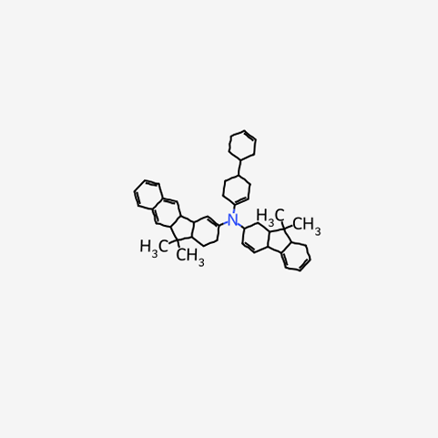 CC1(C)C2CC=CC=C2C2C=CC(N(C3=CCC(C4CC=CCC4)CC3)C3=CC4C5C=c6ccccc6=CC5C(C)(C)C4CC3)CC21